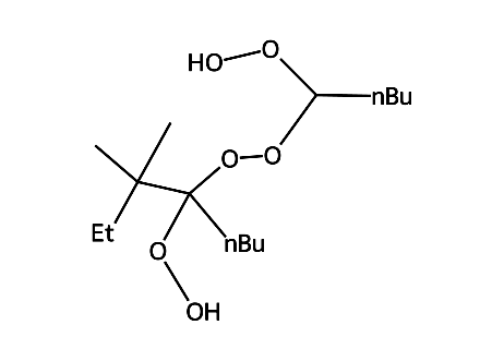 CCCCC(OO)OOC(CCCC)(OO)C(C)(C)CC